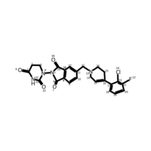 O=C1CCN(N2C(=O)c3ccc(CN4CC=C(c5cccc(F)c5Cl)CC4)cc3C2=O)C(=O)N1